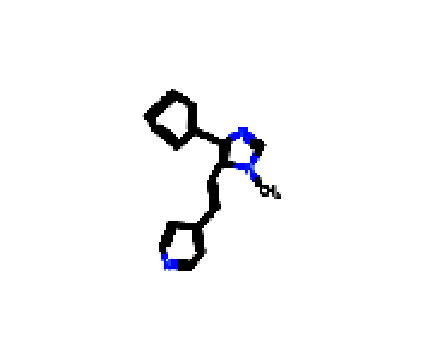 Cn1cnc(-c2ccccc2)c1C=Cc1ccncc1